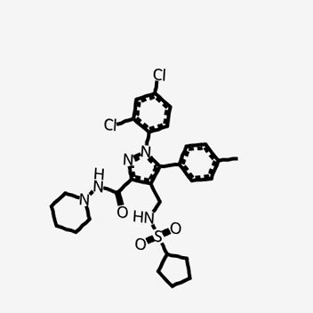 Cc1ccc(-c2c(CNS(=O)(=O)C3CCCC3)c(C(=O)NN3CCCCC3)nn2-c2ccc(Cl)cc2Cl)cc1